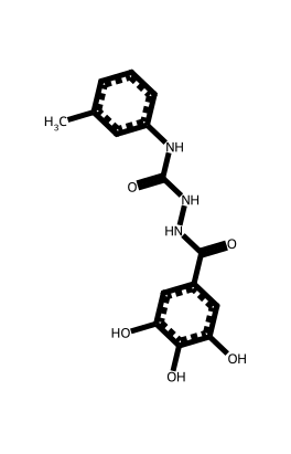 Cc1cccc(NC(=O)NNC(=O)c2cc(O)c(O)c(O)c2)c1